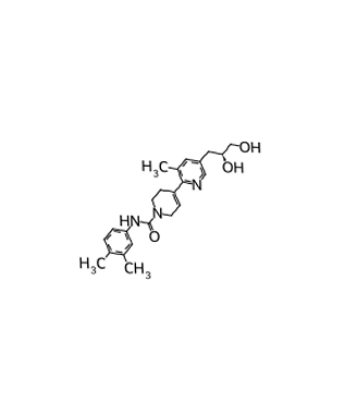 Cc1ccc(NC(=O)N2CC=C(c3ncc(C[C@H](O)CO)cc3C)CC2)cc1C